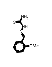 COc1ccccc1C=NNC(N)=S